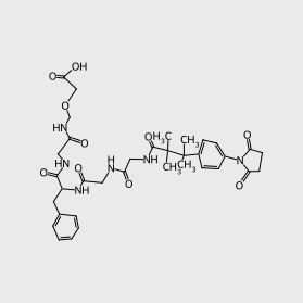 CC(C)(C(=O)NCC(=O)NCC(=O)NC(Cc1ccccc1)C(=O)NCC(=O)NCOCC(=O)O)C(C)(C)c1ccc(N2C(=O)CCC2=O)cc1